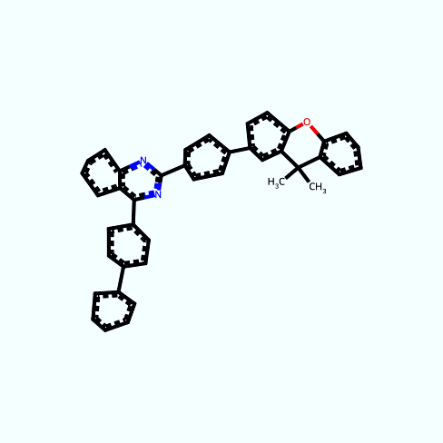 CC1(C)c2ccccc2Oc2ccc(-c3ccc(-c4nc(-c5ccc(-c6ccccc6)cc5)c5ccccc5n4)cc3)cc21